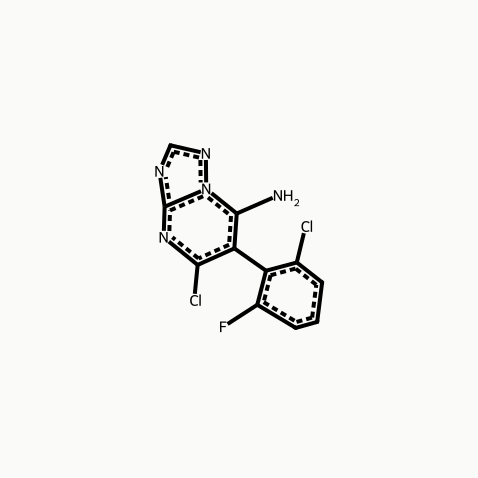 Nc1c(-c2c(F)cccc2Cl)c(Cl)nc2ncnn12